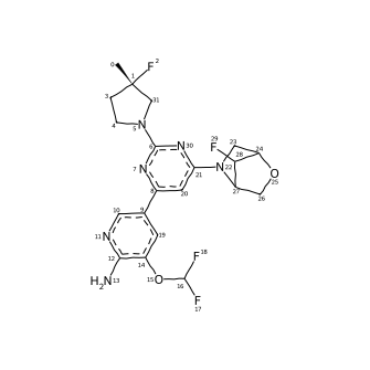 C[C@]1(F)CCN(c2nc(-c3cnc(N)c(OC(F)F)c3)cc(N3CC4OCC3C4F)n2)C1